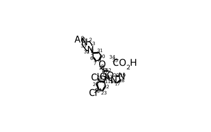 CC(=O)N1CCN(c2ccc(OC[C@H]3CO[C@](Cn4ccnc4)(c4ccc(Cl)cc4Cl)O3)cc2)CC1.CC(=O)O